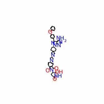 Nc1ncnc2c1c(-c1ccc(Oc3ccccc3)cc1)nn2C1CCC2(CC1)CN(C1CN(c3ccc4c(c3)C(=O)N(C3CCC(=O)NC3O)C4=O)C1)C2